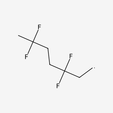 [CH2]CC(F)(F)CCC(C)(F)F